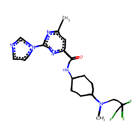 Cc1cc(C(=O)NC2CCC(N(C)CC(F)(F)F)CC2)nc(-n2ccnc2)n1